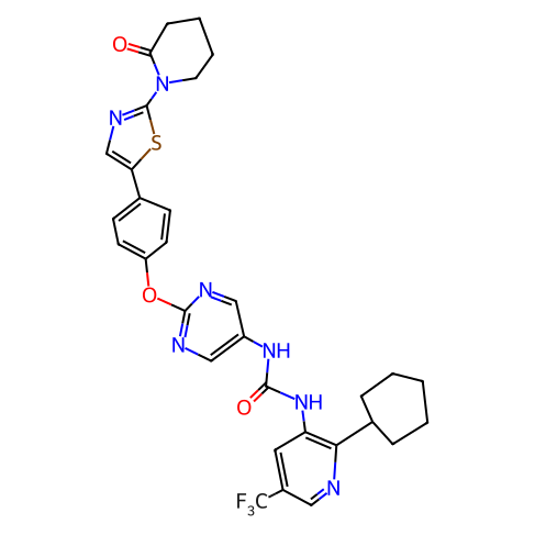 O=C(Nc1cnc(Oc2ccc(-c3cnc(N4CCCCC4=O)s3)cc2)nc1)Nc1cc(C(F)(F)F)cnc1C1CCCCC1